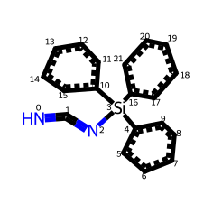 N=C=N[Si](c1ccccc1)(c1ccccc1)c1ccccc1